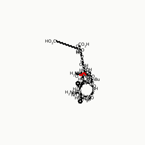 CCCC[C@H](NC(=O)[C@H](CN)NC(=O)[C@H](Cc1c[nH]cn1)NC(=O)[C@@H](CCC(N)=O)NC(=O)[C@H](CO)NC(=O)CNC(=O)COCCOCCNC(=O)[C@@H](CCC(=O)O)NC(=O)CCCCCCCCCCCCCCC(=O)O)C(=O)N[C@H]1CCC(=O)NCCCC[C@@H](C(N)=O)NC(=O)[C@H](Cc2c[nH]c3ccccc23)NC(=O)[C@H](CCCNC(=N)N)NC(=O)[C@@H](Cc2ccccc2)NC(=O)[C@@H]2C[C@@H](O)CN2C1=O